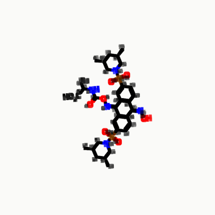 CCC(C)C(NC(=O)ON=C1c2cc(S(=O)(=O)N3C[C@H](C)C[C@H](C)C3)ccc2C(=NO)c2ccc(S(=O)(=O)N3C[C@H](C)C[C@H](C)C3)cc21)C(=O)O